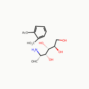 CC(=O)Oc1ccccc1C(=O)O.N[C@@H](C=O)[C@@H](O)[C@H](O)[C@H](O)CO